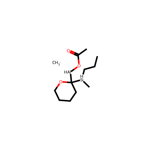 CCC[SiH](C)[C]1([AlH][O]C(C)=O)CCCCO1.[CH3]